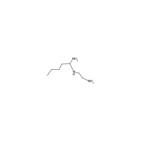 CCCCC(N)NCCN